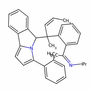 C/C=C\C(C)(c1ccccc1/C(C)=N\C(C)C)C1c2ccccc2-c2ccc(-c3ccccc3C)n21